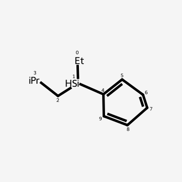 CC[SiH](CC(C)C)c1ccccc1